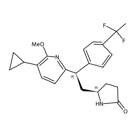 COc1nc([C@H](C[C@H]2CCC(=O)N2)c2ccc(C(C)(F)F)cc2)ccc1C1CC1